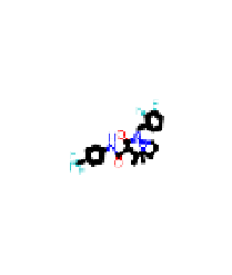 CC1=C(C(=O)Nc2ccc(C(F)(F)F)cc2)C(=O)N(Cc2cccc(F)c2F)N2CCC[C@]12C